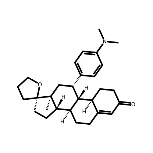 CN(C)c1ccc([C@H]2C[C@@]3(C)[C@@H](CC[C@@]34CCCO4)[C@@H]3CCC4=CC(=O)CC[C@@H]4[C@H]32)cc1